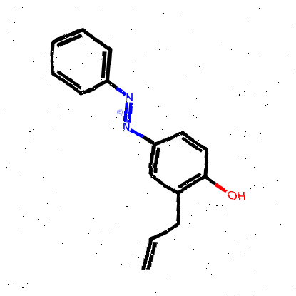 C=CCc1cc(/N=N/c2ccccc2)ccc1O